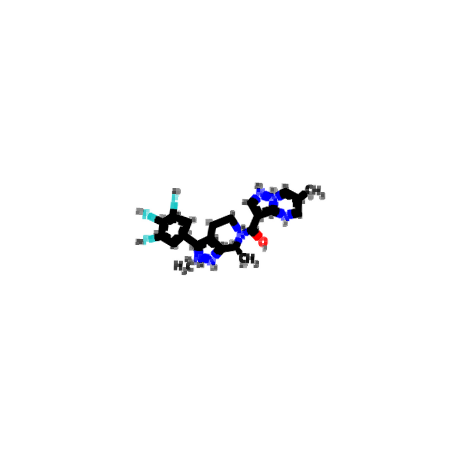 Cc1cnc2c(C(=O)N3CCc4c(nn(C)c4-c4cc(F)c(F)c(F)c4)[C@@H]3C)cnn2c1